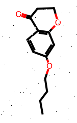 CCCCOc1ccc2c(c1)OCCC2=O